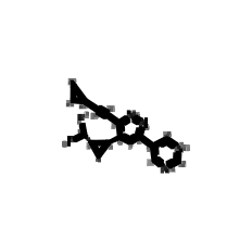 FC(F)[C@H]1C[C@@H]1c1cc(-c2cncnc2)nnc1C#CC1CC1